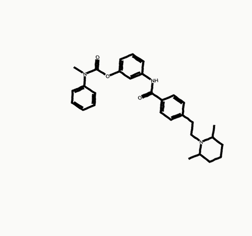 CC1CCCC(C)N1CCc1ccc(C(=O)Nc2cccc(OC(=O)N(C)c3ccccc3)c2)cc1